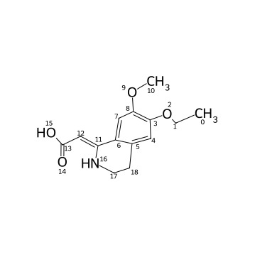 CCOc1cc2c(cc1OC)/C(=C/C(=O)O)NCC2